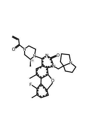 C=CC(=O)N1CCN(c2nc(=O)n(CC34CCCN3CCC4)c3c4c(c(C)cc23)-c2c(ccc(C)c2F)CO4)[C@@H](C)C1